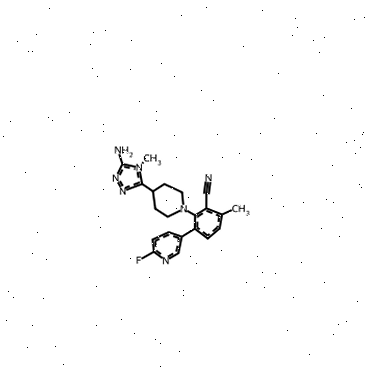 Cc1ccc(-c2ccc(F)nc2)c(N2CCC(c3nnc(N)n3C)CC2)c1C#N